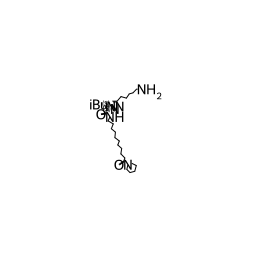 CC[C@H](C)[C@@H](C(=O)NCCCCCCCCCCC(=O)N1CCCCC1)n1cc(CCCCCN)nn1